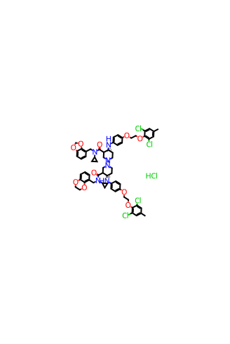 Cc1cc(Cl)c(OCCOc2ccc(N[C@H]3CCN(N4CC[C@H](Nc5ccc(OCCOc6c(Cl)cc(C)cc6Cl)cc5)C(C(=O)N(Cc5cccc6c5OCO6)C5CC5)C4)CC3C(=O)N(Cc3cccc4c3OCCO4)C3CC3)cc2)c(Cl)c1.Cl